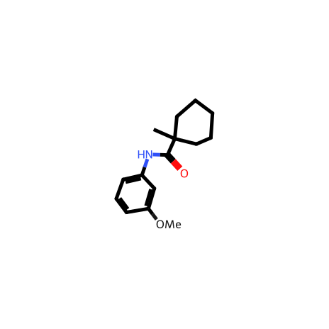 COc1cccc(NC(=O)C2(C)CCCCC2)c1